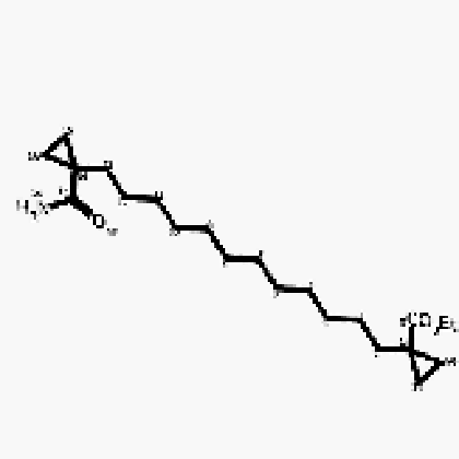 CCOC(=O)C1(CCCCCCCCCCCCC2(C(N)=O)CC2)CC1